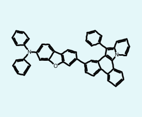 c1ccc(-c2c3c4cc(-c5ccc6c(c5)oc5cc(N(c7ccccc7)c7ccccc7)ccc56)ccc4c4ccccc4c3n3ccccc23)cc1